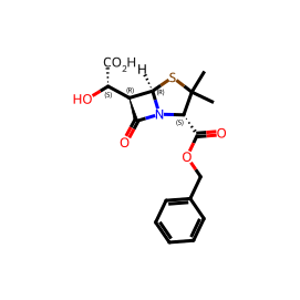 CC1(C)S[C@@H]2[C@H]([C@H](O)C(=O)O)C(=O)N2[C@H]1C(=O)OCc1ccccc1